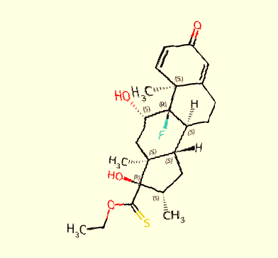 CCOC(=S)[C@@]1(O)[C@@H](C)C[C@H]2[C@@H]3CCC4=CC(=O)C=C[C@]4(C)[C@@]3(F)[C@@H](O)C[C@@]21C